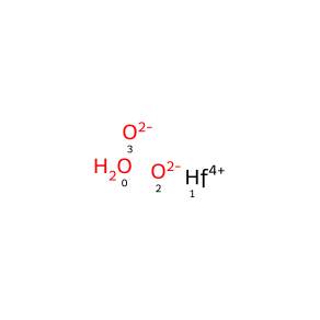 O.[Hf+4].[O-2].[O-2]